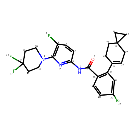 O=C(Nc1ccc(F)c(N2CCC(F)(F)CC2)n1)c1ccc(Br)cc1C1=CCC2(CC1)CC2